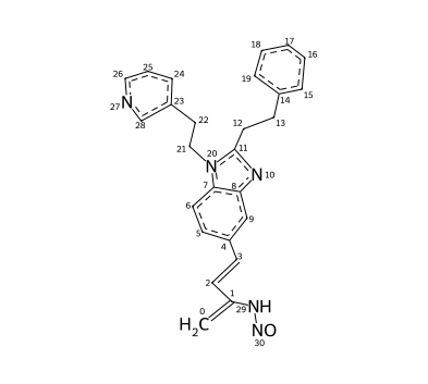 C=C(/C=C/c1ccc2c(c1)nc(CCc1ccccc1)n2CCc1cccnc1)NN=O